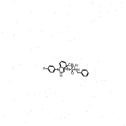 O=C(O)C1(NS(=O)(=O)NCc2ccccc2)C=CC=C2C1=CNN2c1ccc(F)cc1